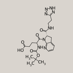 CC(C)(C)OC(=O)NC(CCC(=O)O)C(=O)N1c2ncccc2C[C@H]1C(=O)NCCc1nn[nH]n1